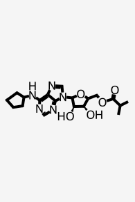 CC(C)C(=O)OCC1OC(n2cnc3c(NC4CCCC4)ncnc32)[C@H](O)[C@@H]1O